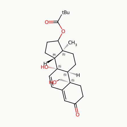 CC(C)(C)C(=O)OC1CC[C@H]2[C@]3(O)C=CC4=CC(=O)CC[C@]4(CO)[C@@H]3CC[C@]12C